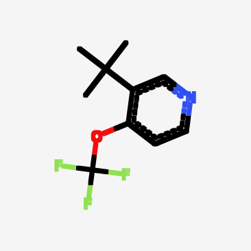 CC(C)(C)c1cnccc1OC(F)(F)F